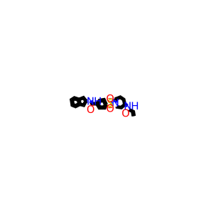 C=CC(=O)NC1CCCN(S(=O)(=O)c2ccc(C(=O)NC3Cc4ccccc4C3)cc2)CC1